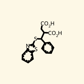 O=C(O)CC(C(=O)O)C(Sc1nc2ccccc2s1)c1ccccc1